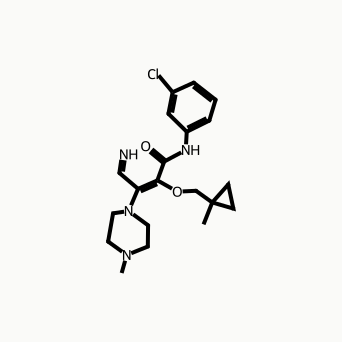 CN1CCN(/C(C=N)=C(\OCC2(C)CC2)C(=O)Nc2cccc(Cl)c2)CC1